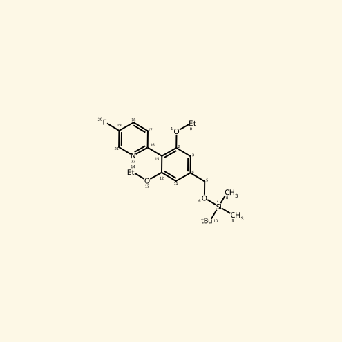 CCOc1cc(CO[Si](C)(C)C(C)(C)C)cc(OCC)c1-c1ccc(F)cn1